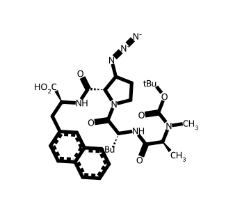 CCCC[C@@H](NC(=O)[C@H](C)N(C)C(=O)OC(C)(C)C)C(=O)N1CCC(N=[N+]=[N-])[C@H]1C(=O)N[C@@H](Cc1ccc2ccccc2c1)C(=O)O